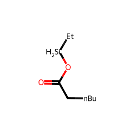 CCCCCC(=O)O[SiH2]CC